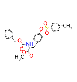 COC(=O)[C@H](Cc1ccc(OS(=O)(=O)c2ccc(C)cc2)cc1)NC(=O)OCc1ccccc1